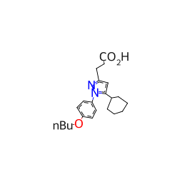 CCCCOc1ccc(-n2nc(CCC(=O)O)cc2C2CCCCC2)cc1